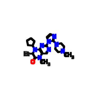 CCC1C(=O)N(C)c2cnc(-n3ccnc3N3CCN(C)CC3)nc2N1C1CCCC1